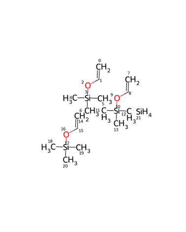 C=CO[Si](C)(C)C.C=CO[Si](C)(C)C.C=CO[Si](C)(C)C.[SiH4]